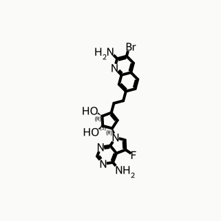 Nc1nc2cc(CCC3=C[C@@H](n4cc(F)c5c(N)ncnc54)[C@H](O)[C@@H]3O)ccc2cc1Br